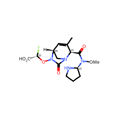 CON(C(=O)[C@@H]1C(C)=C[C@@H]2CN1C(=O)N2O[C@@H](F)C(=O)O)[C@H]1CCCN1